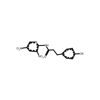 N#Cc1ccc(CCC(=O)Nc2ncc([N+](=O)[O-])cc2[N+](=O)[O-])cc1